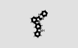 c1ccc2nc3c(nc2c1)c1cccc2c4cc5c(cc4n3c21)[nH]c1ccccc15